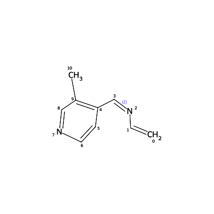 C=C/N=C\c1ccncc1C